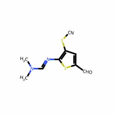 CN(C)/C=N/c1sc(C=O)cc1SC#N